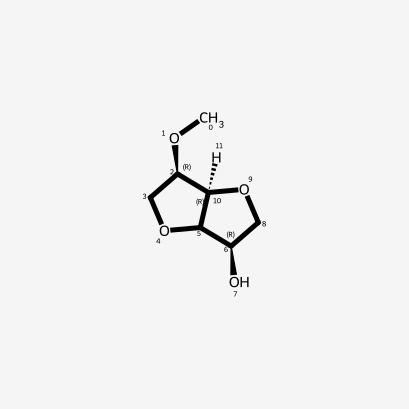 CO[C@@H]1COC2[C@H](O)CO[C@@H]21